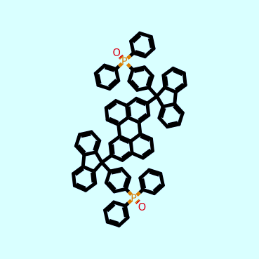 O=P(c1ccccc1)(c1ccccc1)c1ccc(C2(c3cc4cccc5c6cc(C7(c8ccc(P(=O)(c9ccccc9)c9ccccc9)cc8)c8ccccc8-c8ccccc87)cc7cccc(c(c3)c45)c76)c3ccccc3-c3ccccc32)cc1